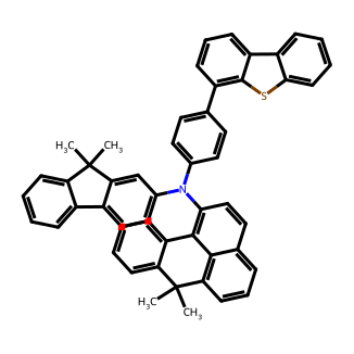 CC1(C)c2ccccc2-c2ccc(N(c3ccc(-c4cccc5c4sc4ccccc45)cc3)c3ccc4cccc5c4c3-c3ccccc3C5(C)C)cc21